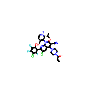 C=CC(=O)N1CCN(c2c(C#N)c(=O)n(C3=C(C)C=CN[C@@H]3C(C)C)c3nc(-c4c(O)c(F)c(F)c(Cl)c4F)c(Cl)cc23)CC1